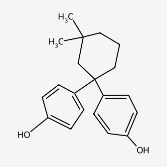 CC1(C)CCCC(c2ccc(O)cc2)(c2ccc(O)cc2)C1